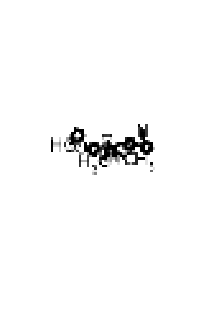 CCCc1nc(C)n(-c2ccc(O[C@H]3CCCCC3O)cc2)c(=O)c1Cc1ccc(-c2ccccc2C#N)cc1